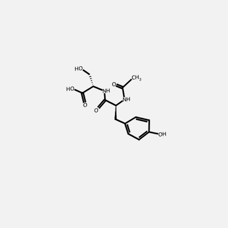 CC(=O)N[C@@H](Cc1ccc(O)cc1)C(=O)N[C@@H](CO)C(=O)O